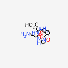 NCCCCC(NC(=O)[C@@H]1CCCN1C(=O)Cc1cccc2ccccc12)C(=O)NC(CCC(=O)O)C(N)=O